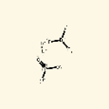 FB(F)F.O=[PH]([O-])[O-].[Li+].[Li+]